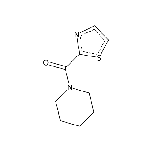 O=C(c1nccs1)N1CCCCC1